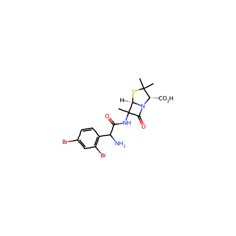 CC1(C)S[C@H]2N(C(=O)C2(C)NC(=O)C(N)c2ccc(Br)cc2Br)[C@H]1C(=O)O